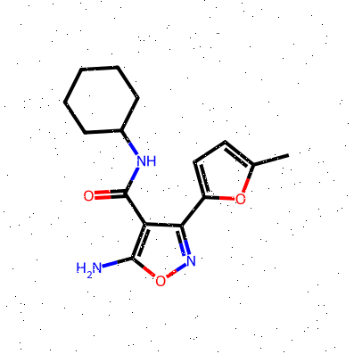 Cc1ccc(-c2noc(N)c2C(=O)NC2CCCCC2)o1